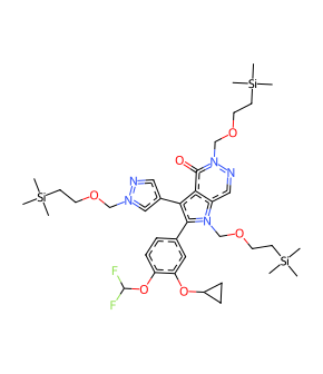 C[Si](C)(C)CCOCn1cc(-c2c(-c3ccc(OC(F)F)c(OC4CC4)c3)n(COCC[Si](C)(C)C)c3cnn(COCC[Si](C)(C)C)c(=O)c23)cn1